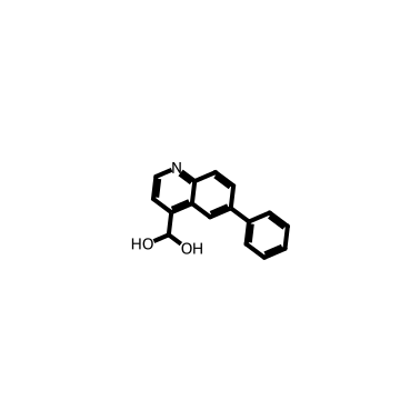 OC(O)c1ccnc2ccc(-c3ccccc3)cc12